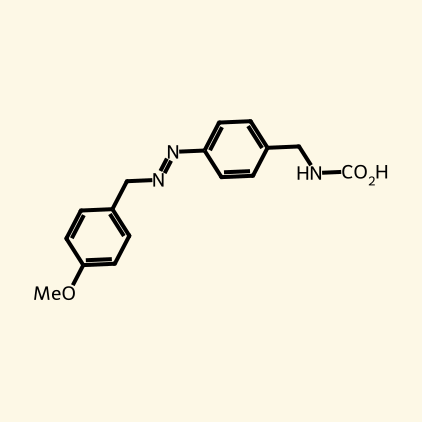 COc1ccc(CN=Nc2ccc(CNC(=O)O)cc2)cc1